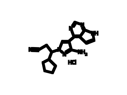 Cl.N#CCC(C1CCCC1)n1cc(-c2ncnc3[nH]ccc23)c(N)n1